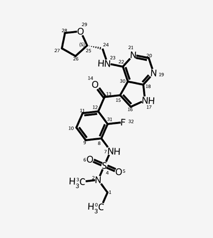 CCN(C)S(=O)(=O)Nc1cccc(C(=O)c2c[nH]c3ncnc(NC[C@@H]4CCCO4)c23)c1F